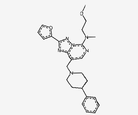 COCCN(C)c1ncc(CN2CCC(c3ccccc3)CC2)c2nc(-c3ccco3)nn12